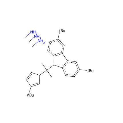 CCCCC1=CC(C(C)(C)C2c3ccc(C(C)(C)C)cc3-c3cc(C(C)(C)C)ccc32)C=C1.CN.CN.CN